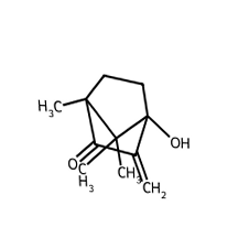 C=C1C(=O)C2(C)CCC1(O)C2(C)C